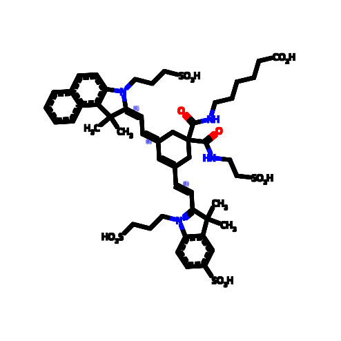 CC1(C)C(/C=C/C2=CC(=C/C=C3/N(CCCS(=O)(=O)O)c4ccc5ccccc5c4C3(C)C)/CC(C(=O)NCCCCCC(=O)O)(C(=O)NCCS(=O)(=O)O)C2)=[N+](CCCS(=O)(=O)O)c2ccc(S(=O)(=O)O)cc21